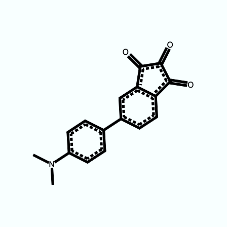 CN(C)c1ccc(-c2ccc3c(=O)c(=O)c(=O)c3c2)cc1